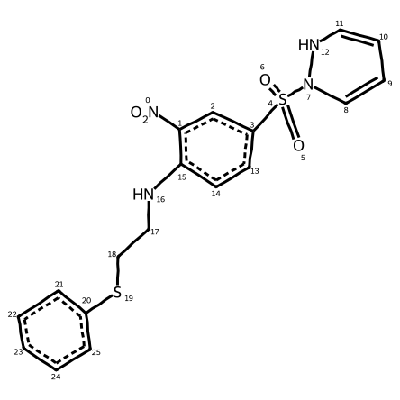 O=[N+]([O-])c1cc(S(=O)(=O)N2C=CC=CN2)ccc1NCCSc1ccccc1